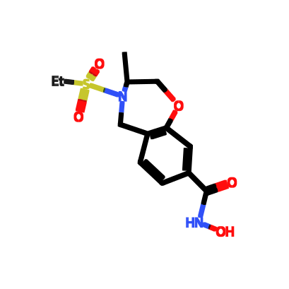 CCS(=O)(=O)N1Cc2ccc(C(=O)NO)cc2OCC1C